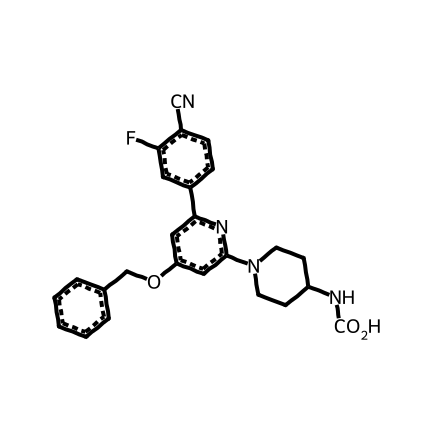 N#Cc1ccc(-c2cc(OCc3ccccc3)cc(N3CCC(NC(=O)O)CC3)n2)cc1F